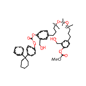 COC(=O)Oc1ccc(CCC[Si](C)(C)O[Si](C)(C)O[Si](C)(C)CCCc2ccc(OC(=O)Oc3ccc(C4(c5ccccc5)CCCCC4)cc3)c(CO)c2)cc1CO